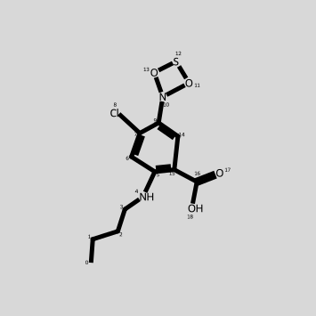 CCCCNc1cc(Cl)c(N2OSO2)cc1C(=O)O